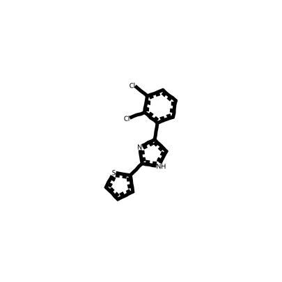 Clc1cccc(-c2c[nH]c(-c3cccs3)n2)c1Cl